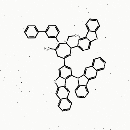 CC[C@@H]1C(c2cccc(-c3ccccc3)c2)=C(C)CC(c2cc(-n3c4ccccc4c4cc5ccccc5cc43)c3c(c2)oc2cc4ccccc4cc23)=NC1c1ccc2oc3ccccc3c2c1